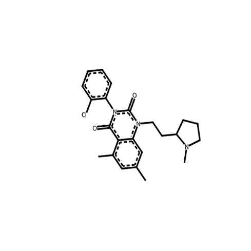 Cc1cc(C)c2c(=O)n(-c3ccccc3Cl)c(=O)n(CCC3CCCN3C)c2c1